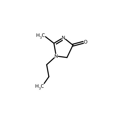 CCCN1CC(=O)N=C1C